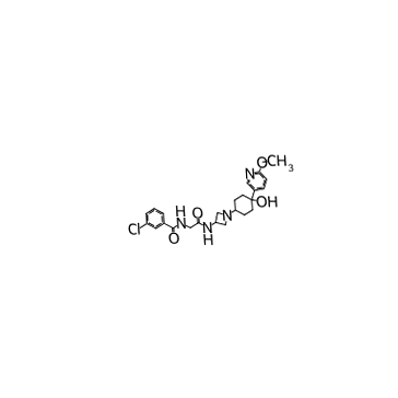 COc1ccc(C2(O)CCC(N3CC(NC(=O)CNC(=O)c4cccc(Cl)c4)C3)CC2)cn1